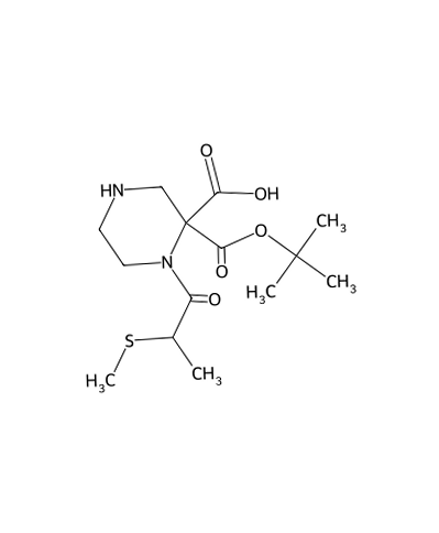 CSC(C)C(=O)N1CCNCC1(C(=O)O)C(=O)OC(C)(C)C